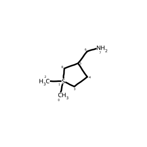 CS1(C)CCC(CN)C1